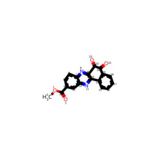 COC(=O)c1ccc2nc3c(nc2c1)-c1ccccc1C(=O)C3=O